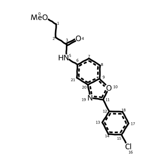 COCCC(=O)Nc1ccc2oc(-c3ccc(Cl)cc3)nc2c1